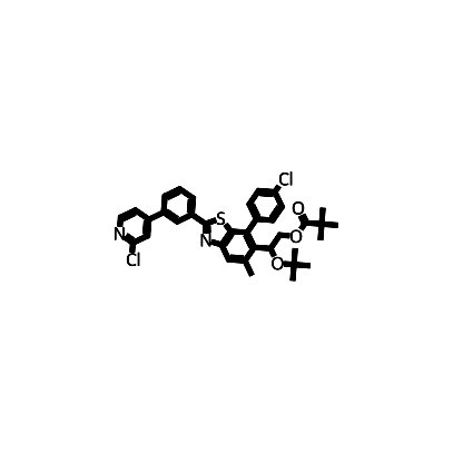 Cc1cc2nc(-c3cccc(-c4ccnc(Cl)c4)c3)sc2c(-c2ccc(Cl)cc2)c1C(COC(=O)C(C)(C)C)OC(C)(C)C